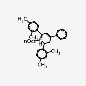 CCCCCCCC[PH]1=C(c2ccc(C)cc2C)C=C(c2ccccc2)CC1c1ccc(C)cc1C